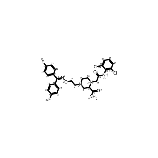 NC(=O)C1CN(CCON=C(c2ccc(F)cc2)c2ccc(F)cc2)CCN1CC(=O)Nc1c(Cl)cccc1Cl